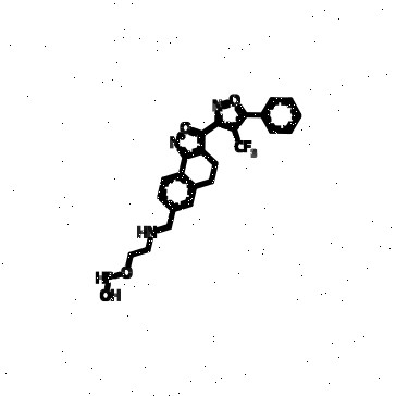 OPOCCNCc1ccc2c(c1)CCc1c-2noc1-c1noc(-c2ccccc2)c1C(F)(F)F